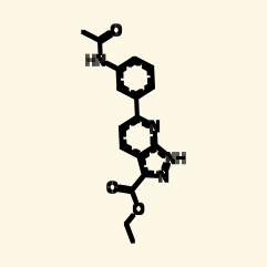 CCOC(=O)c1n[nH]c2nc(-c3cccc(NC(C)=O)c3)ccc12